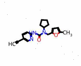 C#Cc1ccc(NC(=O)N(Cc2ccc(C)o2)C2CCCC2)nc1